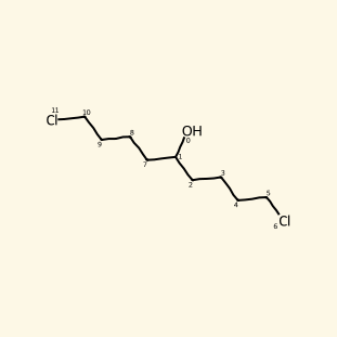 OC(CCCCCl)CCCCCl